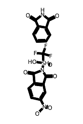 O=C1NC(=O)c2ccccc21.O=C1c2ccc([N+](=O)[O-])cc2C(=O)N1[SH](=O)(O)C(F)(F)F